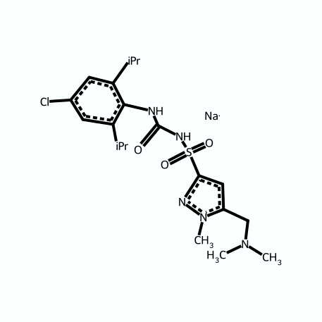 CC(C)c1cc(Cl)cc(C(C)C)c1NC(=O)NS(=O)(=O)c1cc(CN(C)C)n(C)n1.[Na]